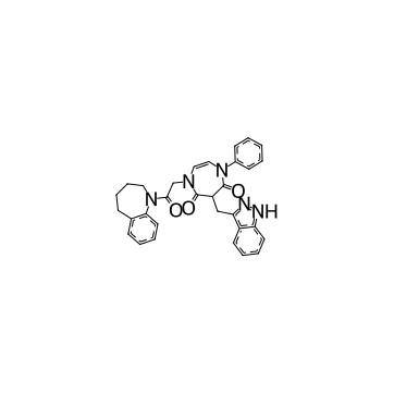 O=C1C(Cc2n[nH]c3ccccc23)C(=O)N(c2ccccc2)C=CN1CC(=O)N1CCCCc2ccccc21